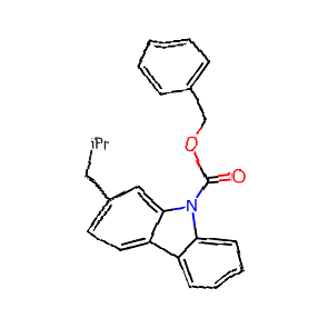 CC(C)Cc1ccc2c3ccccc3n(C(=O)OCc3ccccc3)c2c1